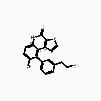 NCCc1cccc(-c2c(O)ccc3[nH]c(=O)c4sccc4c23)c1